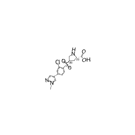 Cn1cc(-c2ccc(S(=O)(=O)[C@H]3CN[C@H](C(=O)O)C3)c(Cl)c2)cn1